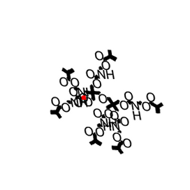 C=C(C)C(=O)OCNC(=O)OCC(COCC(COC(=O)NCOC(=O)C(=C)C)(COC(=O)NCOC(=O)C(=C)C)COC(=O)NCOC(=O)C(=C)C)(COC(=O)NCOC(=O)C(=C)C)COC(=O)NCOC(=O)C(=C)C